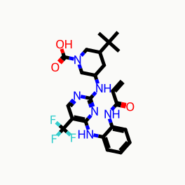 C=CC(=O)Nc1ccccc1Nc1nc(NC2CC(C(C)(C)C)CN(C(=O)O)C2)ncc1C(F)(F)F